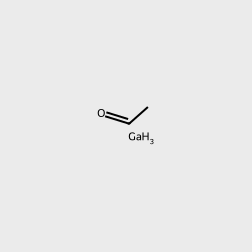 CC=O.[GaH3]